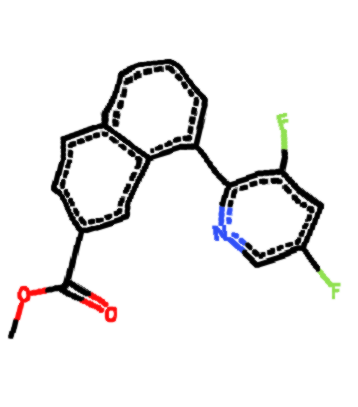 COC(=O)c1ccc2cccc(-c3ncc(F)cc3F)c2c1